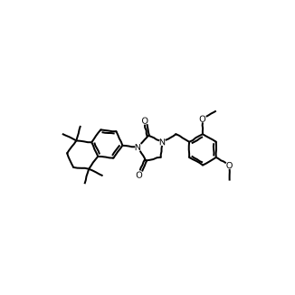 COc1ccc(CN2CC(=O)N(c3ccc4c(c3)C(C)(C)CCC4(C)C)C2=O)c(OC)c1